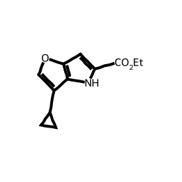 CCOC(=O)c1cc2occ(C3CC3)c2[nH]1